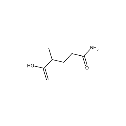 C=C(O)C(C)CCC(N)=O